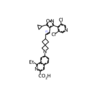 CCc1nc(C(=O)O)cc2ccc(N3CC4(CC(/C=C/c5c(-c6c(Cl)cncc6Cl)noc5C5CC5)C4)C3)cc12